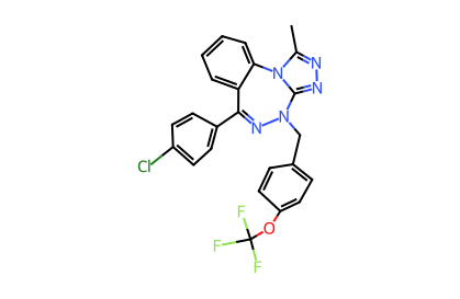 Cc1nnc2n1-c1ccccc1C(c1ccc(Cl)cc1)=NN2Cc1ccc(OC(F)(F)F)cc1